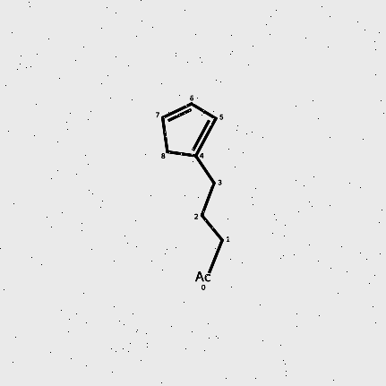 CC(=O)CCCC1=CC=CC1